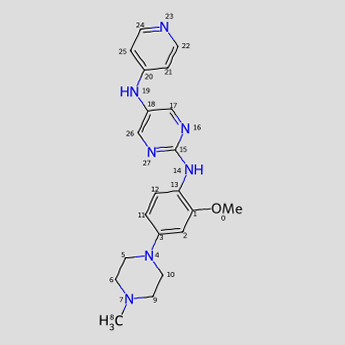 COc1cc(N2CCN(C)CC2)ccc1Nc1ncc(Nc2ccncc2)cn1